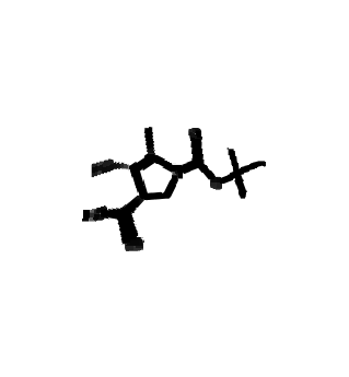 C[C@@H]1[C@@H](O)[C@H](C(=O)O)CN1C(=O)OC(C)(C)C